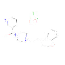 Cl.Cl.O.O=C(c1cccnc1)N1CCN(CCC2CCOc3ccccc32)CC1